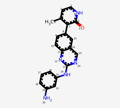 Cc1cc[nH]c(=O)c1-c1ccc2nc(Nc3cccc(N)c3)ncc2c1